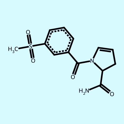 CS(=O)(=O)c1cccc(C(=O)N2C=CCC2C(N)=O)c1